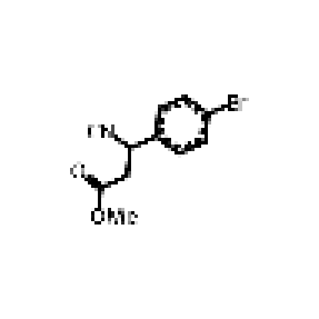 [C-]#[N+]C(CC(=O)OC)c1ccc(Br)cc1